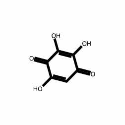 O=C1C=C(O)C(=O)C(O)=C1O